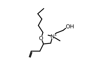 C=CCC(C[N+](C)(C)CCO)OCCCCC